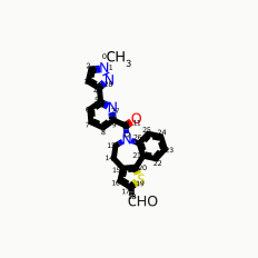 Cn1ccc(-c2cccc(C(=O)N3CCc4cc(C=O)sc4-c4ccccc43)n2)n1